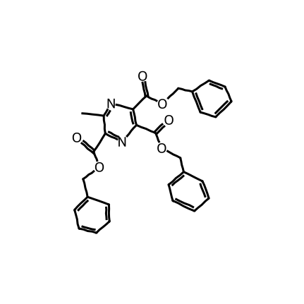 Cc1nc(C(=O)OCc2ccccc2)c(C(=O)OCc2ccccc2)nc1C(=O)OCc1ccccc1